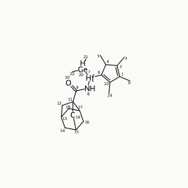 CC1=C(C)C(C)[C]([Hf]([NH]C(=O)C23CC4CC(CC2C4)C3)[GeH]([CH3])[CH3])=C1C